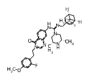 COc1ccc(CCn2cnc3cc(N/C(=N/CC4C[C@@H]5C[C@H](C4)C5(C)C)N4C[C@@H](C)N[C@@H](C)C4)ccc3c2=O)c(F)c1